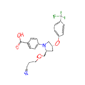 N#CCCOC[C@@H]1C[C@@H](Oc2ccc(C(F)(F)F)cc2)CN1c1ccc(C(=O)O)cc1